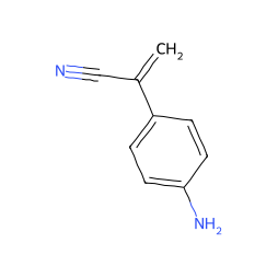 C=C(C#N)c1ccc(N)cc1